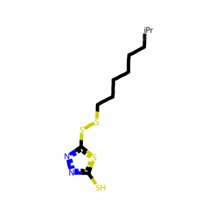 CC(C)CCCCCCSSc1nnc(S)s1